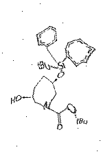 CC(C)(C)OC(=O)N1C[C@@H](O)CC[C@@H](O[Si](c2ccccc2)(c2ccccc2)C(C)(C)C)C1